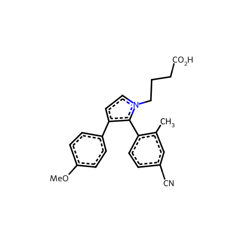 COc1ccc(-c2ccn(CCCC(=O)O)c2-c2ccc(C#N)cc2C)cc1